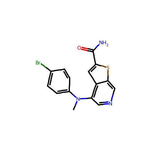 CN(c1ccc(Br)cc1)c1cncc2sc(C(N)=O)cc12